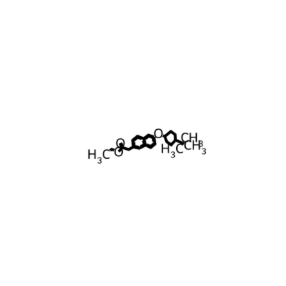 CCOC(=O)Cc1ccc2cc(OC3CCC(C(C)(C)C)CC3)ccc2c1